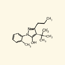 CCCc1nn(-c2ccccc2C)c(O)c1C(C)(C)C